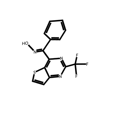 ON=C(c1ccccc1)c1nc(C(F)(F)F)nc2ccsc12